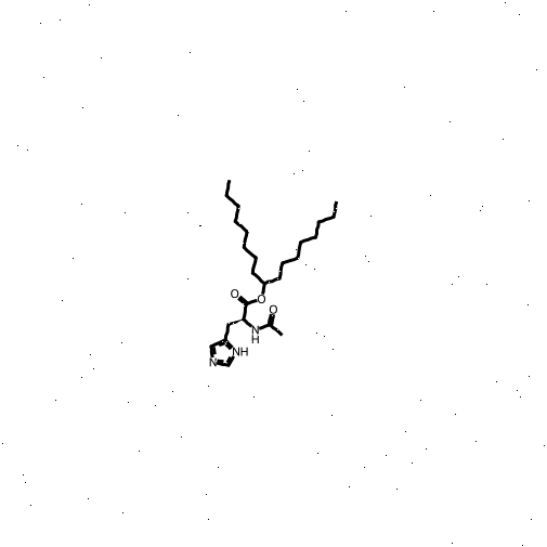 CCCCCCCCC(CCCCCCCC)OC(=O)[C@H](Cc1cnc[nH]1)NC(C)=O